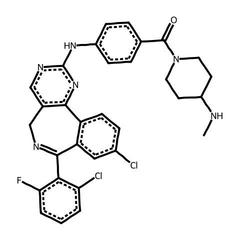 CNC1CCN(C(=O)c2ccc(Nc3ncc4c(n3)-c3ccc(Cl)cc3C(c3c(F)cccc3Cl)=NC4)cc2)CC1